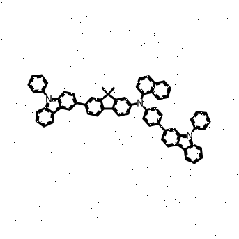 CC1(C)c2cc(-c3ccc4c(c3)c3ccccc3n4-c3ccccc3)ccc2-c2ccc(N(c3ccc(-c4ccc5c6ccccc6n(-c6ccccc6)c5c4)cc3)c3cccc4ccccc34)cc21